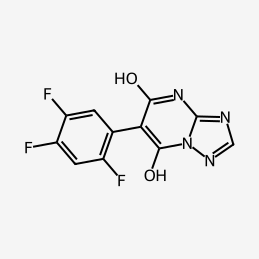 Oc1nc2ncnn2c(O)c1-c1cc(F)c(F)cc1F